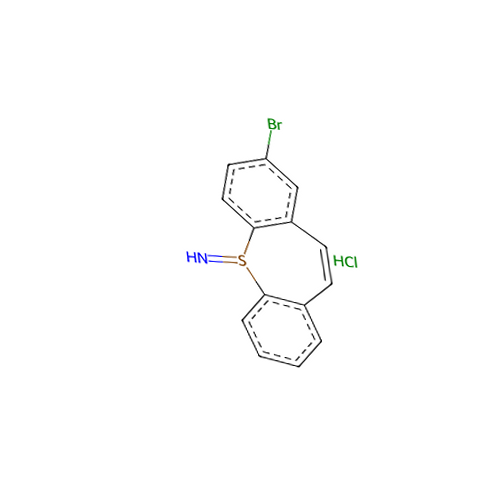 Cl.N=S1c2ccccc2C=Cc2cc(Br)ccc21